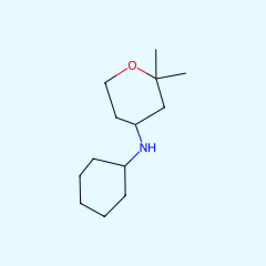 CC1(C)CC(NC2CCCCC2)CCO1